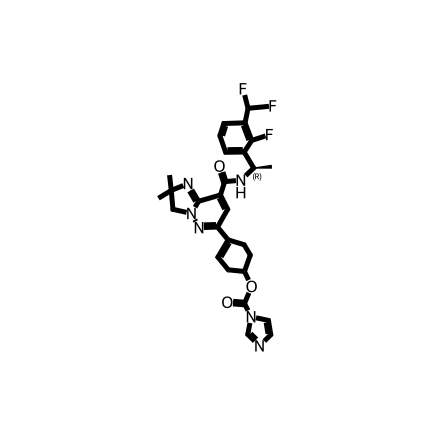 C[C@@H](NC(=O)C1=CC(C2=CCC(OC(=O)n3ccnc3)CC2)=NN2CC(C)(C)N=C12)c1cccc(C(F)F)c1F